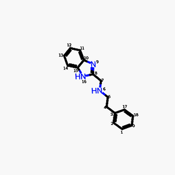 c1ccc(CCNCc2nc3ccccc3[nH]2)cc1